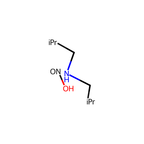 CC(C)CNCC(C)C.O=NO